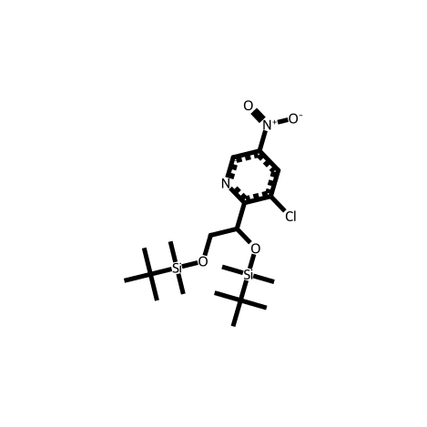 CC(C)(C)[Si](C)(C)OCC(O[Si](C)(C)C(C)(C)C)c1ncc([N+](=O)[O-])cc1Cl